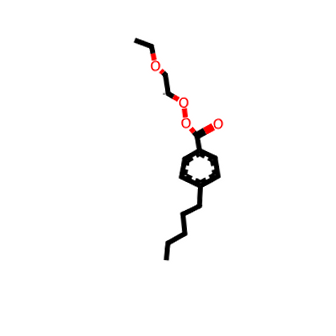 CCCCCc1ccc(C(=O)OO[CH]COCC)cc1